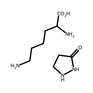 NCCCCC(N)C(=O)O.O=C1CCNN1